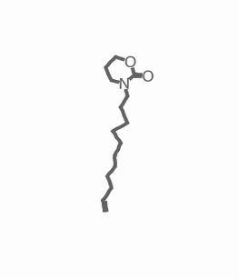 C=CCCCCCCCCCN1CCCOC1=O